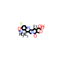 CC[C@@]1(O)C(=O)OCc2c1cc1n(c2=O)Cc2c-1nc1cc(F)c3c(c1c2C)N(C)CO3